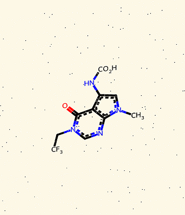 Cn1cc(NC(=O)O)c2c(=O)n(CC(F)(F)F)cnc21